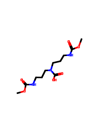 COC(=O)NCCCN(CCCNC(=O)OC)C(=O)O